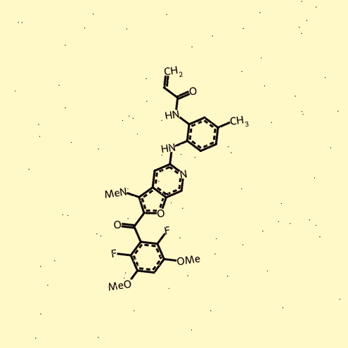 C=CC(=O)Nc1cc(C)ccc1Nc1cc2c(NC)c(C(=O)c3c(F)c(OC)cc(OC)c3F)oc2cn1